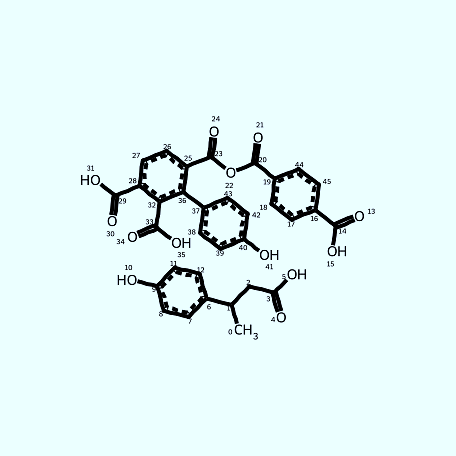 CC(CC(=O)O)c1ccc(O)cc1.O=C(O)c1ccc(C(=O)OC(=O)c2ccc(C(=O)O)c(C(=O)O)c2-c2ccc(O)cc2)cc1